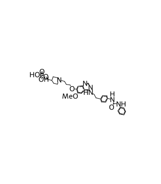 COc1cc2c(NCCc3ccc(NC(=O)Nc4ccccc4)cc3)ncnc2cc1OCCCN1CCC(COP(=O)(O)O)CC1